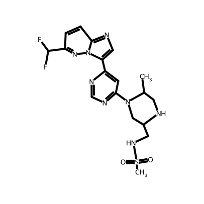 CC1CNC(CNS(C)(=O)=O)CN1c1cc(-c2cnc3ccc(C(F)F)nn23)ncn1